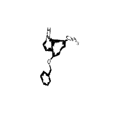 Cc1ccc(OCc2ccccc2)c2cc[nH]c12